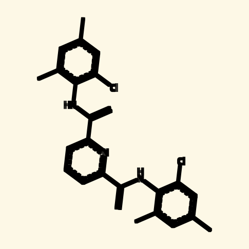 C=C(Nc1c(C)cc(C)cc1Cl)c1cccc(C(=C)Nc2c(C)cc(C)cc2Cl)n1